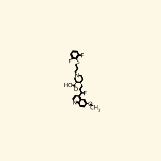 COc1ccc2nccc(C(F)CC[C@@H]3CCN(CCCSc4c(F)cccc4F)C[C@@H]3C(=O)O)c2c1